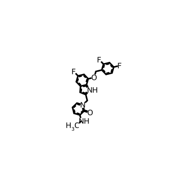 CNc1cccn(Cc2cc3cc(F)cc(OCc4ccc(F)cc4F)c3[nH]2)c1=O